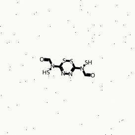 O=CN(S)C1=NN=C(N(S)C=O)SS1